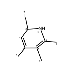 CC1=CC(I)NC(C)=C1C